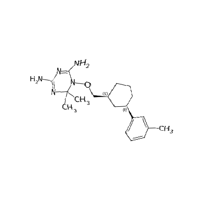 Cc1cccc([C@@H]2CCC[C@H](CON3C(N)=NC(N)=NC3(C)C)C2)c1